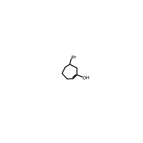 CC(C)C1CCCC=C(O)C1